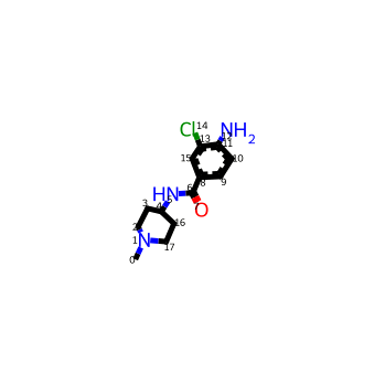 CN1CCC(NC(=O)c2ccc(N)c(Cl)c2)CC1